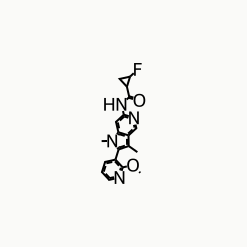 COc1ncccc1-c1c(C)c2cnc(NC(=O)C3CC3F)cc2n1C